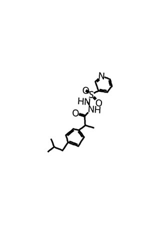 CC(C)Cc1ccc(C(C)C(=O)NNS(=O)(=O)c2cccnc2)cc1